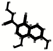 CCOC(=O)c1cn(CC)c2nc(OC)ccc2c1=O